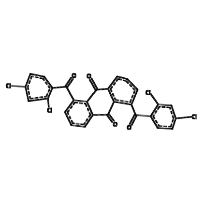 O=C(c1ccc(Cl)cc1Cl)c1cccc2c1C(=O)c1cccc(C(=O)c3ccc(Cl)cc3Cl)c1C2=O